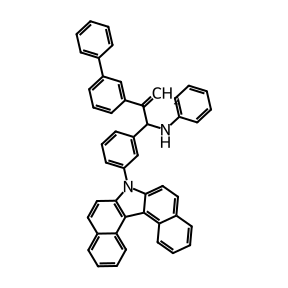 C=C(c1cccc(-c2ccccc2)c1)C(Nc1ccccc1)c1cccc(-n2c3ccc4ccccc4c3c3c4ccccc4ccc32)c1